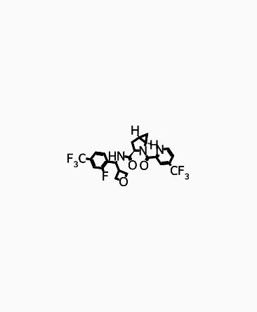 O=C(N[C@@H](c1ccc(C(F)(F)F)cc1F)C1COC1)[C@H]1C[C@H]2C[C@H]2N1C(=O)c1cc(C(F)(F)F)ccn1